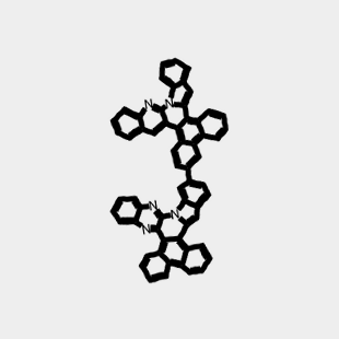 c1ccc2nc3c(cc2c1)c1c2ccc(-c4ccc5cc6c7c8ccccc8c8ccccc8c7c7nc8ccccc8nc7n6c5c4)cc2c2ccccc2c1c1cc2ccccc2n13